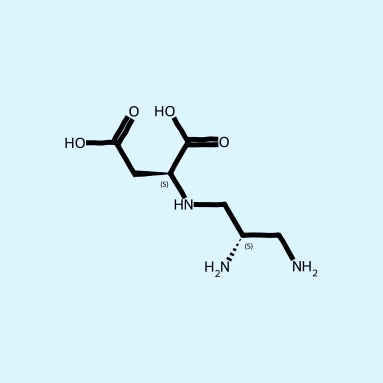 NC[C@H](N)CN[C@@H](CC(=O)O)C(=O)O